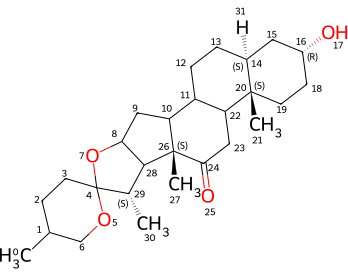 CC1CCC2(OC1)OC1CC3C4CC[C@H]5C[C@H](O)CC[C@]5(C)C4CC(=O)[C@]3(C)C1[C@@H]2C